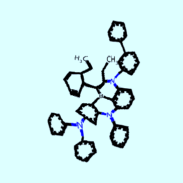 CCC1=C(C2C=CC=CC2CC)B2c3ccc(N(c4ccccc4)c4ccccc4)cc3N(c3ccccc3)c3cccc(c32)N1c1cccc(-c2ccccc2)c1